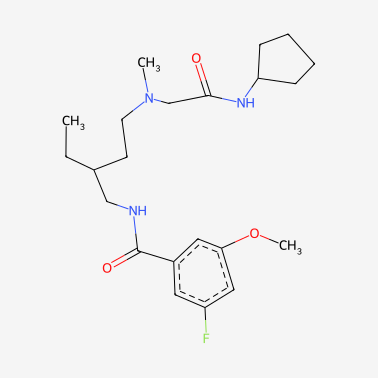 CCC(CCN(C)CC(=O)NC1CCCC1)CNC(=O)c1cc(F)cc(OC)c1